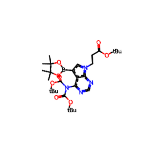 CC(C)(C)OC(=O)CCn1cc(B2OC(C)(C)C(C)(C)O2)c2c(N(C(=O)OC(C)(C)C)C(=O)OC(C)(C)C)ncnc21